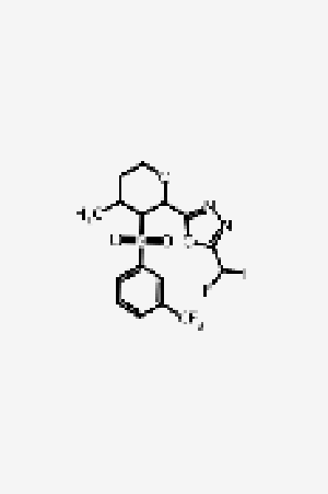 CC1CCOC(c2nnc(C(F)F)o2)C1S(=O)(=O)c1cccc(C(F)(F)F)c1